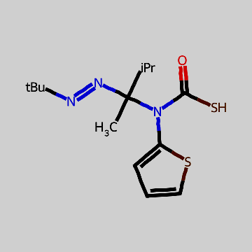 CC(C)C(C)(N=NC(C)(C)C)N(C(=O)S)c1cccs1